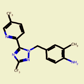 Cc1cc(Cn2nc(C(F)(F)F)nc2-c2ccc(C(F)(F)F)cn2)ccc1N